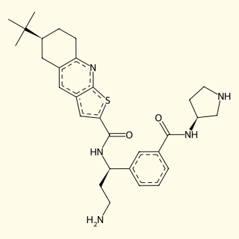 CC(C)(C)[C@H]1CCc2nc3sc(C(=O)N[C@H](CCN)c4cccc(C(=O)N[C@H]5CCNC5)c4)cc3cc2C1